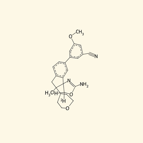 [2H]C1([2H])OC(N)=NC12c1cc(-c3cc(C#N)cc(OC)c3)ccc1CC2(C)C1CCOCC1